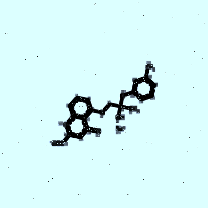 CC(O)(COc1cccc2oc(C(=O)[O-])cc(=O)c12)Oc1cccc(C(F)(F)F)c1.[Na+]